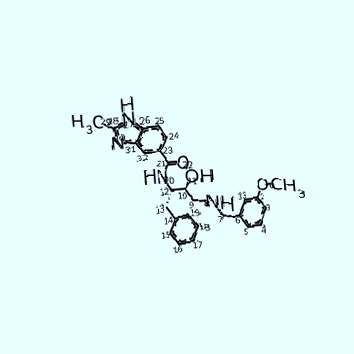 COc1cccc(CNC[C@H](O)[C@H](Cc2ccccc2)NC(=O)c2ccc3[nH]c(C)nc3c2)c1